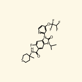 CC(C)n1c(=O)n(-c2cc(OC(F)(F)C(F)F)ccn2)c2cc(F)c(C(=O)NC3(C)CCSCC3)cc21